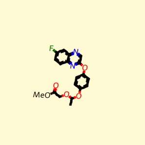 COC(=O)COC(C)Oc1ccc(Oc2cnc3cc(F)ccc3n2)cc1